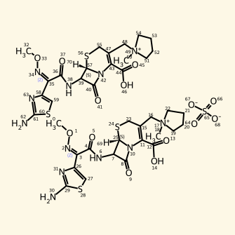 CO/N=C(\C(=O)NC1C(=O)N2C(C(=O)O)=C(C[N+]3(C)CCCC3)CS[C@@H]12)c1csc(N)n1.CO/N=C(\C(=O)NC1C(=O)N2C(C(=O)O)=C(C[N+]3(C)CCCC3)CS[C@@H]12)c1csc(N)n1.O=S(=O)([O-])[O-]